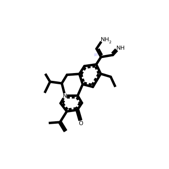 C=C(C)c1cn2c(cc1=O)-c1cc(CC)c(/C(C=N)=C/N)cc1CC2C(C)C